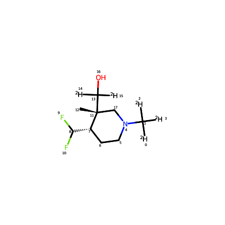 [2H]C([2H])([2H])N1CC[C@H](C(F)F)[C@](C)(C([2H])([2H])O)C1